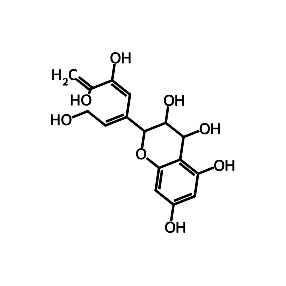 C=C(O)/C(O)=C\C(=C/CO)C1Oc2cc(O)cc(O)c2C(O)C1O